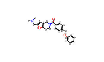 CN(C)Cc1cc2c(o1)CCN(C(=O)c1ccc(COc3ccccc3)cc1)C2